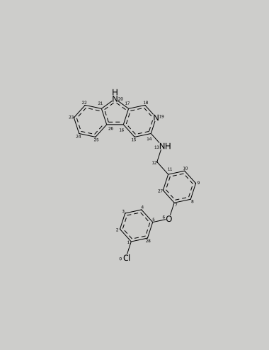 Clc1cccc(Oc2cccc(CNc3cc4c(cn3)[nH]c3ccccc34)c2)c1